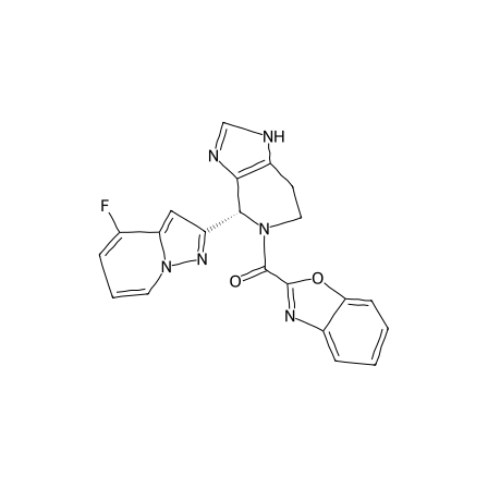 O=C(c1nc2ccccc2o1)N1CCc2[nH]cnc2[C@H]1c1cc2c(F)cccn2n1